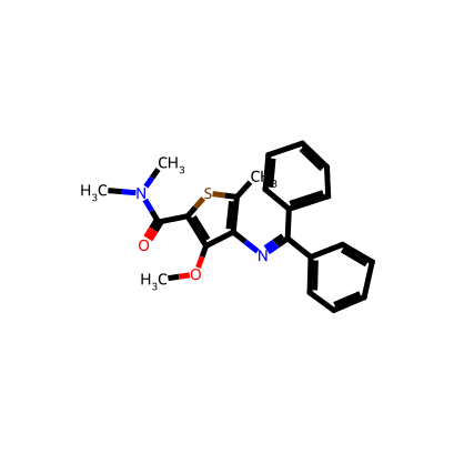 COc1c(C(=O)N(C)C)sc(C)c1N=C(c1ccccc1)c1ccccc1